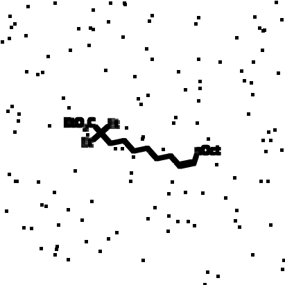 CCCCCCCC/C=C\CCCCCCC(CC)(CC)C(=O)OCC